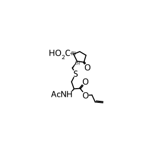 C=CCOC(=O)C(CSC[C@@H]1C(=O)CC[C@H]1C(=O)O)NC(C)=O